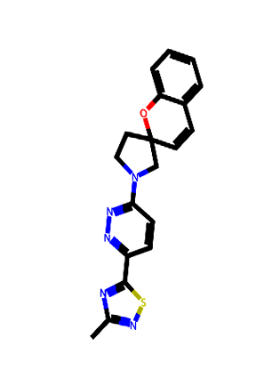 Cc1nsc(-c2ccc(N3CCC4(C=Cc5ccccc5O4)C3)nn2)n1